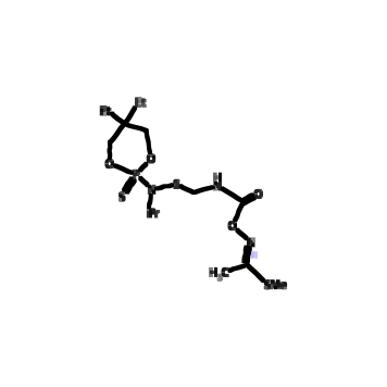 CCC1(CC)COP(=S)(N(SCNC(=O)O/N=C(\C)SC)C(C)C)OC1